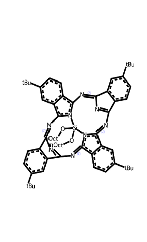 CCCCCCCCO[Si]1(OCCCCCCCC)n2c3c4cc(C(C)(C)C)ccc4c2/N=C2N=C(/N=c4/c5cc(C(C)(C)C)ccc5/c(n41)=N/C1=NC(=N\3)/c3ccc(C(C)(C)C)cc31)c1ccc(C(C)(C)C)cc1\2